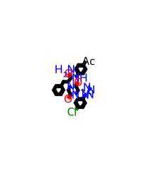 CC(=O)c1ccc(NC(=O)C(Cc2ccccc2)N2CC(=O)N(c3cc(Cl)ccc3-n3cnnn3)CC2=O)c(N)c1